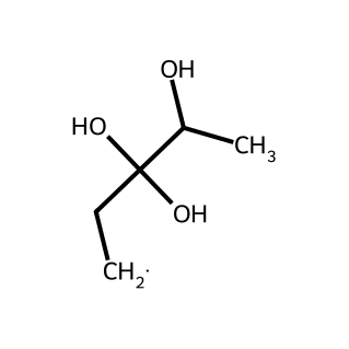 [CH2]CC(O)(O)C(C)O